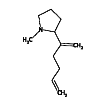 C=CCCC(=C)C1CCCN1C